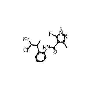 Cc1nn(C)c(F)c1C(=O)Nc1ccccc1C(C)C(Cl)C(C)C